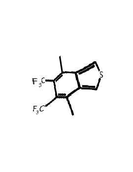 Cc1c(C(F)(F)F)c(C(F)(F)F)c(C)c2cscc12